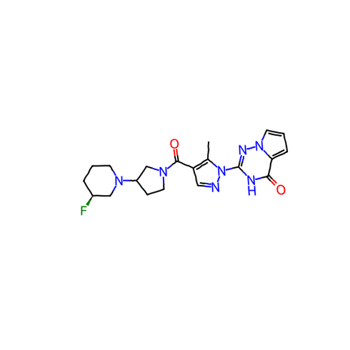 Cc1c(C(=O)N2CCC(N3CCC[C@H](F)C3)C2)cnn1-c1nn2cccc2c(=O)[nH]1